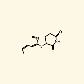 C=N/C(=C\C=C/C)SC1CCC(=O)NC1=O